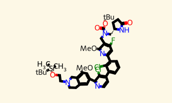 COc1cc(-c2nccc(-c3cccc(-c4cc(F)c(CN(C[C@@H]5CCC(=O)N5)C(=O)OC(C)(C)C)c(OC)n4)c3Cl)c2Cl)cc2c1CN(CCO[Si](C)(C)C(C)(C)C)CC2